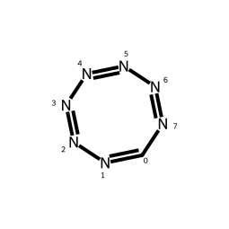 C1=NN=NN=NN=N1